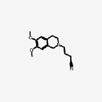 COc1cc2c(cc1OC)CN(CCCC#N)CC2